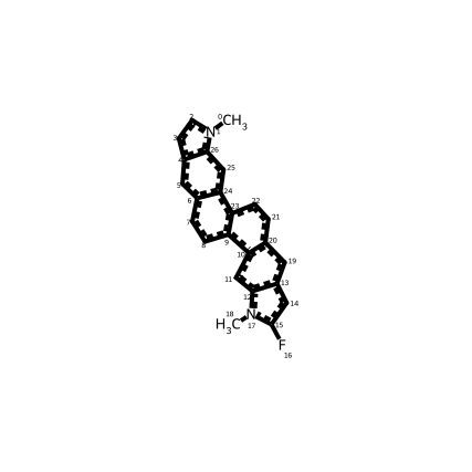 Cn1ccc2cc3ccc4c5cc6c(cc(F)n6C)cc5ccc4c3cc21